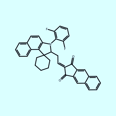 O=C1C(=CCC2N(c3c(F)cccc3F)c3ccc4ccccc4c3C23CCCCC3)C(=O)c2cc3ccccc3cc21